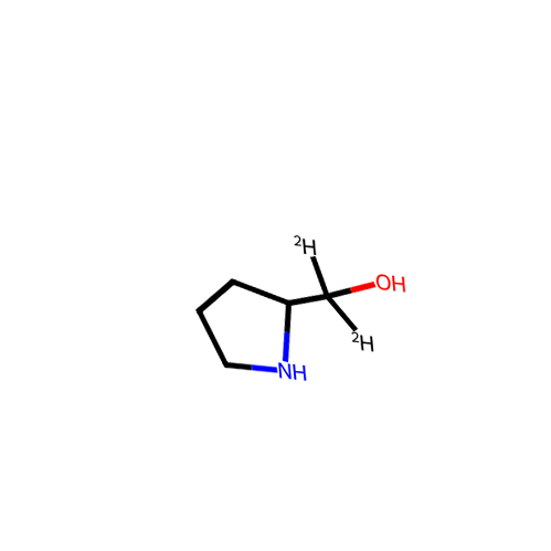 [2H]C([2H])(O)C1CCCN1